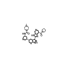 CN1CCN(C(=O)Nc2cncc(-c3cnc4[nH]nc(-c5nc6c(C(=O)N7CCCC7)cncc6[nH]5)c4c3)c2)CC1